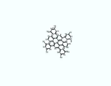 Cc1cc(C)cc(-c2cc(-c3cc(C)cc(C)c3)c3c4ccccc4c4c(-c5cc(C)cc(C)c5)cc(-c5cc(C)cc(C)c5)c5c6ccccc6c2c3c54)c1